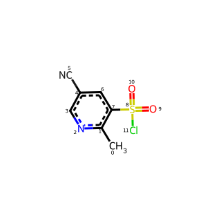 Cc1ncc(C#N)cc1S(=O)(=O)Cl